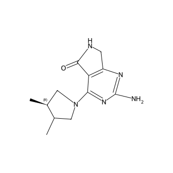 CC1CN(c2nc(N)nc3c2C(=O)NC3)C[C@@H]1C